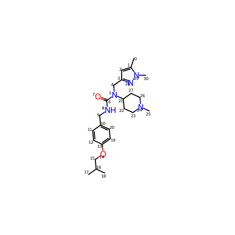 Cc1cc(CN(C(=O)NCc2ccc(OCC(C)C)cc2)C2CCN(C)CC2)nn1C